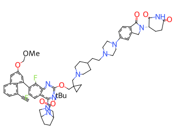 C#Cc1cccc2cc(OCOC)cc(-c3c(F)cc4c(N5CC6CCC(C5)N6C(=O)OC(C)(C)C)nc(OCC5(CN6CCC(CCN7CCN(c8ccc9c(c8)CN([C@H]8CCC(=O)NC8=O)C9=O)CC7)CC6)CC5)nc4c3F)c12